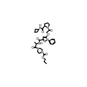 CCCOC(=O)N1CCN(C(=O)C(C)NC(=O)c2cc(OCC(=O)N3CCCC3C(=O)NC3CCC3)n(-c3ccccc3)n2)CC1